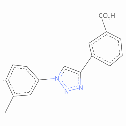 Cc1[c]ccc(-n2cc(-c3cccc(C(=O)O)c3)nn2)c1